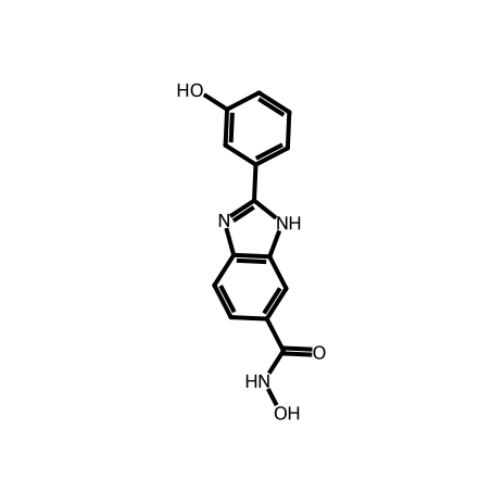 O=C(NO)c1ccc2nc(-c3cccc(O)c3)[nH]c2c1